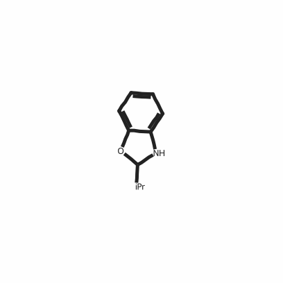 CC(C)C1Nc2ccccc2O1